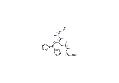 C#C/C=C\C(C)=C(\C)C/C(OP(n1cccc1)n1cccc1)=C(C)/C(C)=C\C=C